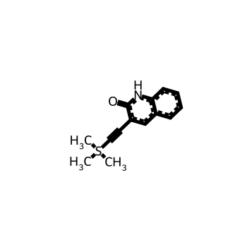 CS(C)(C)C#Cc1cc2ccccc2[nH]c1=O